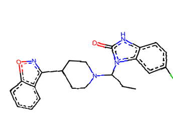 CCC(N1CCC(c2noc3ccccc23)CC1)n1c(=O)[nH]c2ccc(Cl)cc21